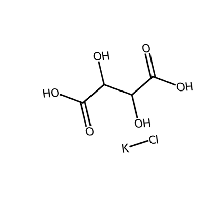 O=C(O)C(O)C(O)C(=O)O.[Cl][K]